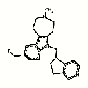 CN1CCc2c(n(/C=C3\CCc4cnccc43)c3ccc(CF)cc23)CC1